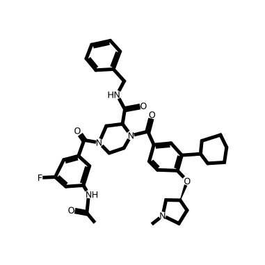 CC(=O)Nc1cc(F)cc(C(=O)N2CCN(C(=O)c3ccc(O[C@H]4CCN(C)C4)c(C4CCCCC4)c3)C(C(=O)NCc3ccccc3)C2)c1